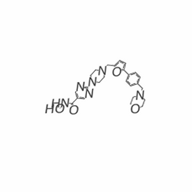 O=C(NO)c1cnc(N2CCN(Cc3ccc(-c4ccc(CN5CCOCC5)cc4)o3)CC2)nc1